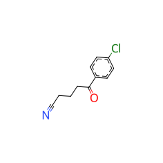 N#CCCCC(=O)c1ccc(Cl)cc1